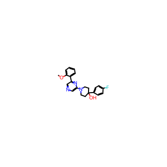 COc1ccccc1-c1cncc(N2CCC(O)(c3ccc(F)cc3)CC2)n1